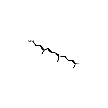 CC(=O)OC/C=C(C)/C=C/C=C(\C)CCC=C(C)C